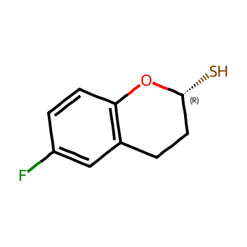 Fc1ccc2c(c1)CC[C@@H](S)O2